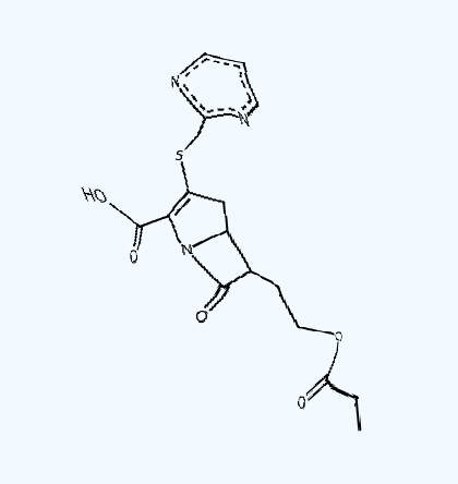 CCC(=O)OCCC1C(=O)N2C(C(=O)O)=C(Sc3ncccn3)CC12